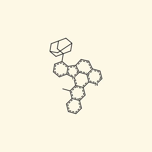 Cc1c2ccccc2cc2c3nccc4ccc5c6c(C78CC9CC(CC(C9)C7)C8)cccc6n(c12)c5c43